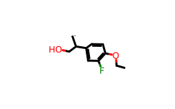 [CH2]C(CO)c1ccc(OCC)c(F)c1